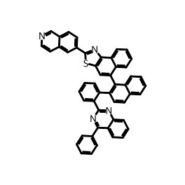 c1ccc(-c2nc(-c3ccccc3-c3ccc4ccccc4c3-c3cc4sc(-c5ccc6cnccc6c5)nc4c4ccccc34)nc3ccccc23)cc1